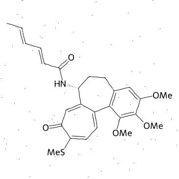 C/C=C/C=C/C(=O)N[C@@H]1CCc2cc(OC)c(OC)c(OC)c2-c2ccc(SC)c(=O)cc21